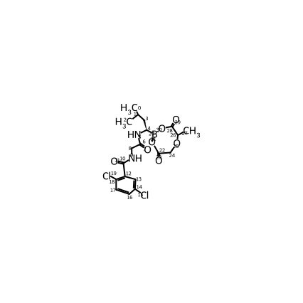 CC(C)C[C@H](NC(=O)CNC(=O)c1cc(Cl)ccc1Cl)B1OC(=O)COC(C)C(=O)O1